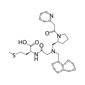 CSCC[C@H](NC(=O)CN(Cc1cccc2ccccc12)C[C@@H]1CCCN1C(=O)Cc1ccccn1)C(=O)O